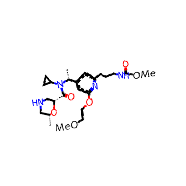 COCCOc1cc([C@@H](C)N(C(=O)[C@H]2CNC[C@@H](C)O2)C2CC2)cc(CCCNC(=O)OC)n1